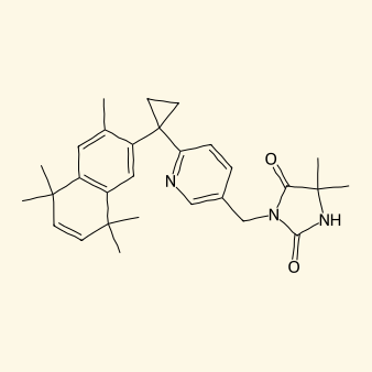 Cc1cc2c(cc1C1(c3ccc(CN4C(=O)NC(C)(C)C4=O)cn3)CC1)C(C)(C)C=CC2(C)C